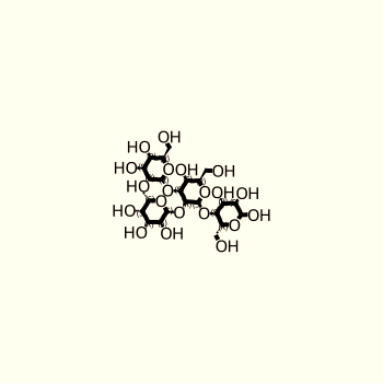 C[C@@H]1O[C@@H](O[C@H]2[C@H](O[C@H]3[C@H](O)[C@@H](O)C(O)O[C@@H]3CO)O[C@H](CO)[C@H](O)[C@@H]2O[C@H]2O[C@H](CO)[C@H](O)[C@H](O)[C@H]2O)[C@@H](O)[C@H](O)[C@@H]1O